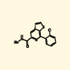 CCC(C)NC(=O)c1cc2ccsc2c(-c2ccccc2Cl)n1